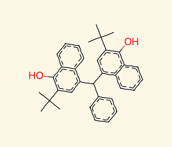 CC(C)(C)c1cc(C(c2ccccc2)c2cc(C(C)(C)C)c(O)c3ccccc23)c2ccccc2c1O